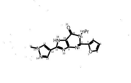 CCCn1c(-c2ccco2)nc2nc(-c3cnn(C)c3)[nH]c2c1=O